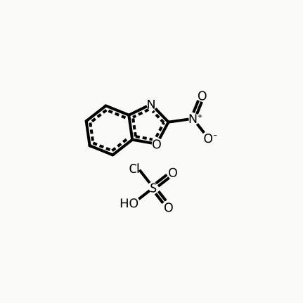 O=S(=O)(O)Cl.O=[N+]([O-])c1nc2ccccc2o1